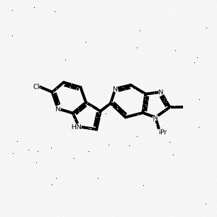 Cc1nc2cnc(-c3c[nH]c4nc(Cl)ccc34)cc2n1C(C)C